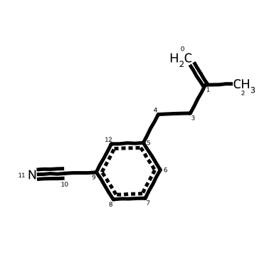 C=C(C)CCc1cccc(C#N)c1